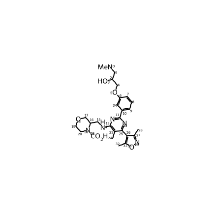 CNCC(O)COc1cccc(-c2nc(NCC3COCCN3C(=O)O)c(C)c(-c3c(C)noc3C)n2)c1